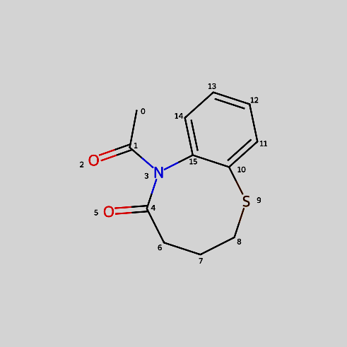 CC(=O)N1C(=O)CCCSc2ccccc21